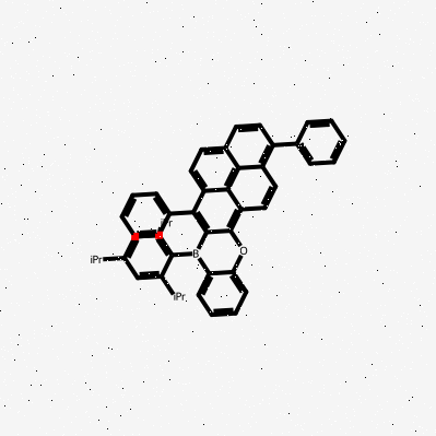 CC(C)c1cc(C(C)C)c(B2c3ccccc3Oc3c2c(-c2ccccc2)c2ccc4ccc(-c5ccccc5)c5ccc3c2c45)c(C(C)C)c1